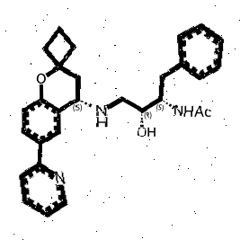 CC(=O)N[C@@H](Cc1ccccc1)[C@H](O)CN[C@H]1CC2(CCC2)Oc2ccc(-c3ccccn3)cc21